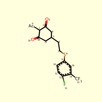 CC(=O)C1C(=O)CC(CCSc2ccc(F)c(C(F)(F)F)c2)CC1=O